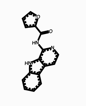 O=C(Nc1nccc2c1[nH]c1ccccc12)c1ccco1